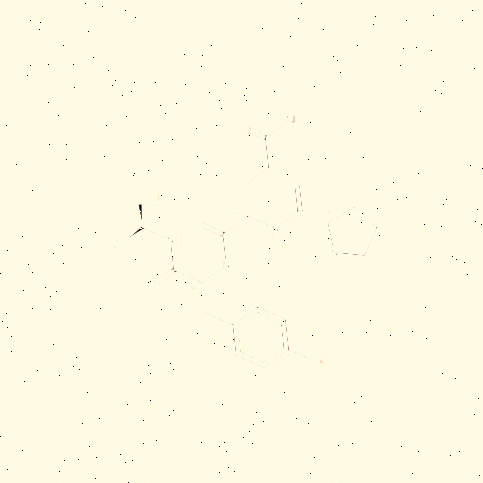 CC[C@H](C)[C@H](NC(=O)[C@@H](Cc1ccc(O)cc1)NC(=O)[C@H](CCC(N)=O)NC(=O)[C@@H]1CCCN1)C(=O)O